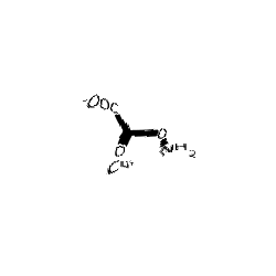 NOC(=O)C(=O)[O-].[Cu+]